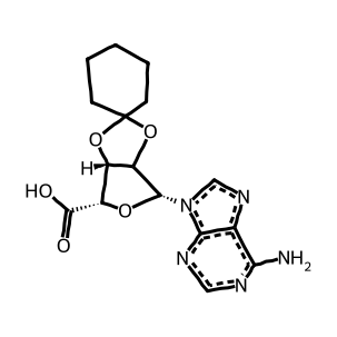 Nc1ncnc2c1ncn2[C@@H]1O[C@H](C(=O)O)[C@@H]2OC3(CCCCC3)OC21